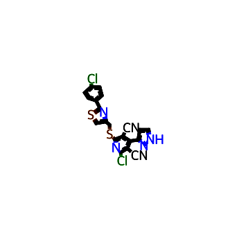 N#Cc1c(Cl)nc(SCc2csc(-c3ccc(Cl)cc3)n2)c(C#N)c1-c1cc[nH]n1